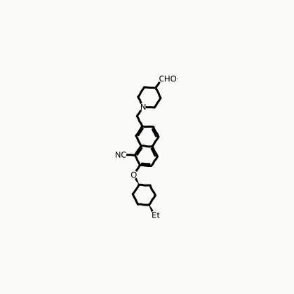 CC[C@H]1CC[C@@H](Oc2ccc3ccc(CN4CCC([C]=O)CC4)cc3c2C#N)CC1